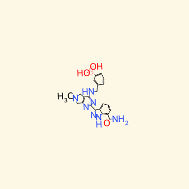 CN1Cc2nc(-c3n[nH]c4c(C(N)=O)cccc34)nc(NCc3cccc(B(O)O)c3)c2C1